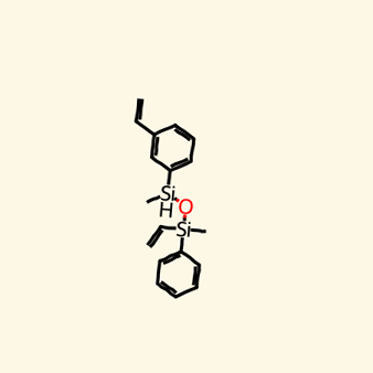 C=Cc1cccc([SiH](C)O[Si](C)(C=C)c2ccccc2)c1